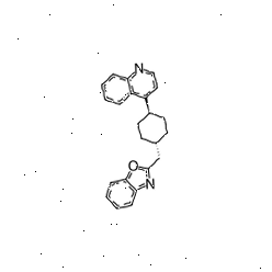 c1ccc2oc(C[C@H]3CC[C@H](c4ccnc5ccccc54)CC3)nc2c1